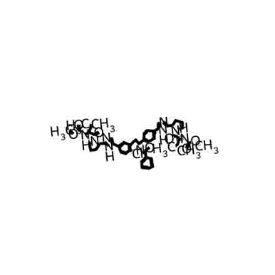 COC(=O)NC(C(=O)N1CCCC1c1ncc(-c2ccc(Cl)c(CC3=NC(c4ccccc4)Oc4cc(-c5cnc(C6CCCN6C(=O)[C@@H](NC(=O)OC)C(C)C)[nH]5)ccc43)c2)[nH]1)C(C)C